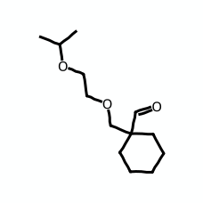 CC(C)OCCOCC1(C=O)CCCCC1